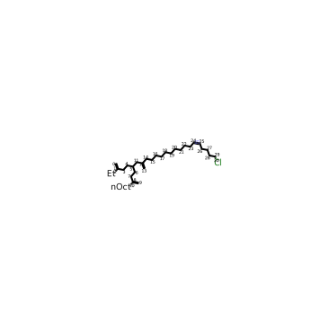 C=C(CC)CCC(CCC(=C)CCCCCCCC)CC(=C)CCCCCCCCCC/C=C\CCCCCl